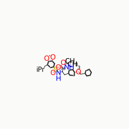 CC(C)Cc1cc(S(=O)(=O)NC(Cc2ccc(OCc3ccccc3)cc2)[C@H]2COC(C)(C)N2)cc2c1OCO2